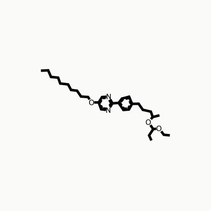 CCCCCCCCCCOc1cnc(-c2ccc(CCCC(C)OC(CC)OCC)cc2)nc1